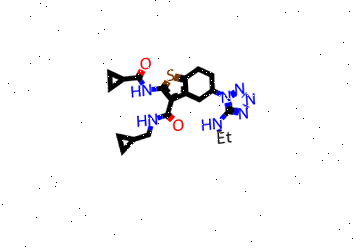 CCNc1nnnn1C1CCc2sc(NC(=O)C3CC3)c(C(=O)NCC3CC3)c2C1